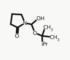 CC(C)C(C)(C)OC(O)N1CCCC1=O